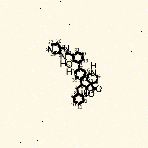 O=C(O)C1(C(=O)C(Cc2ccccc2)c2ccc(-c3cccc(-c4nc5ccncc5[nH]4)c3O)cc2)CCNCC1